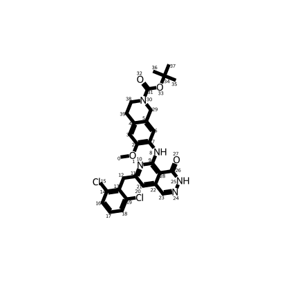 COc1cc2c(cc1Nc1nc(Cc3c(Cl)cccc3Cl)cc3cn[nH]c(=O)c13)CN(C(=O)OC(C)(C)C)CC2